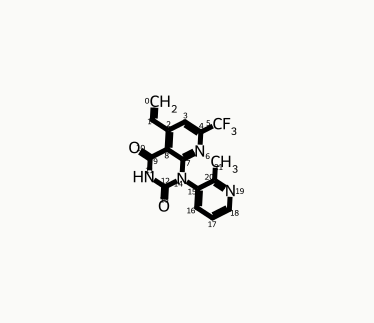 C=Cc1cc(C(F)(F)F)nc2c1c(=O)[nH]c(=O)n2-c1cccnc1C